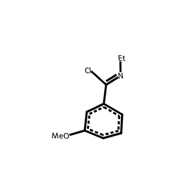 CCN=C(Cl)c1cccc(OC)c1